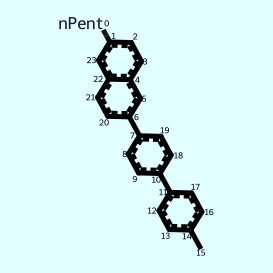 CCCCCc1ccc2cc(-c3ccc(-c4ccc(C)cc4)cc3)ccc2c1